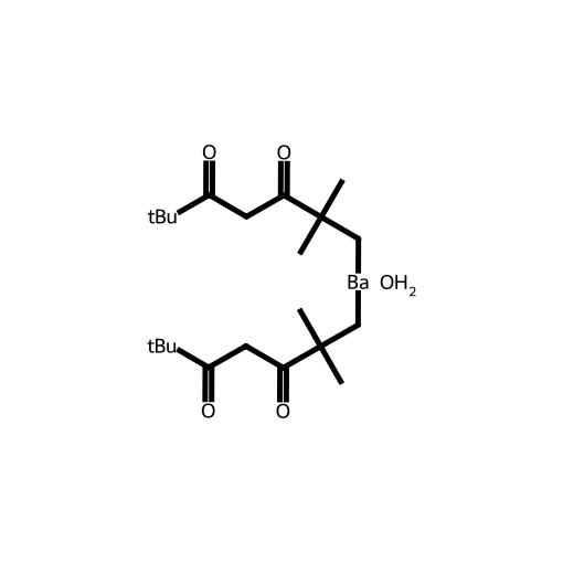 CC(C)(C)C(=O)CC(=O)C(C)(C)[CH2][Ba][CH2]C(C)(C)C(=O)CC(=O)C(C)(C)C.O